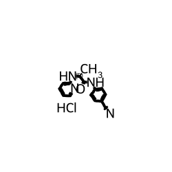 C[C@@H](Nc1ccccn1)C(=O)Nc1ccc(C#N)cc1.Cl